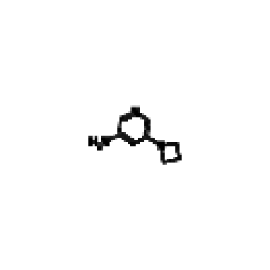 Nc1cncc(N2CCC2)c1